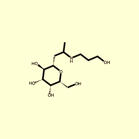 CC(C[C@@H]1O[C@H](CO)[C@H](O)[C@H](O)[C@H]1O)NCCCO